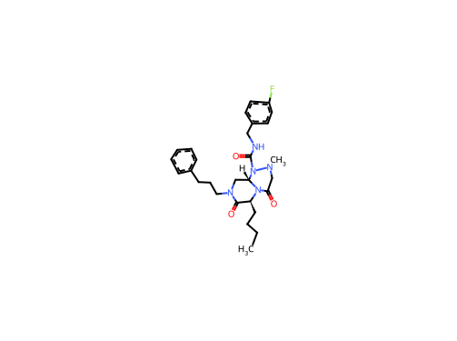 CCCC[C@H]1C(=O)N(CCCc2ccccc2)C[C@H]2N1C(=O)CN(C)N2C(=O)NCc1ccc(F)cc1